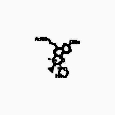 COc1ccc2nc([C@@H](C)N(C(=O)[C@H]3CNCCO3)C3CC3)cc(CCCNC(C)=O)c2c1